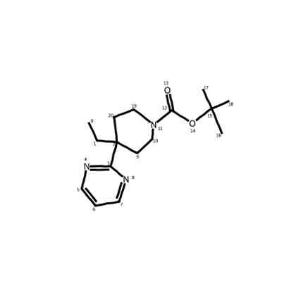 CCC1(c2ncccn2)CCN(C(=O)OC(C)(C)C)CC1